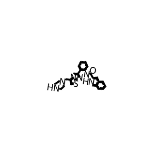 O=C(Nc1ccccc1-c1cn2c(CN3CCNCC3)csc2n1)c1cc2ccccc2cn1